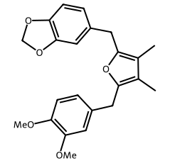 COc1ccc(Cc2oc(Cc3ccc4c(c3)OCO4)c(C)c2C)cc1OC